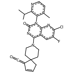 Cc1ccnc(C(C)C)c1-n1c(=O)nc(N2CCC3(CC=CC3=C=O)CC2)c2cc(F)c(Cl)nc21